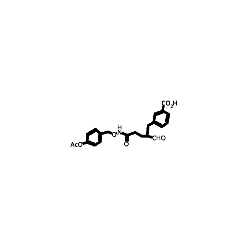 CC(=O)Oc1ccc(CONC(=O)CCC(C=O)Cc2cccc(C(=O)O)c2)cc1